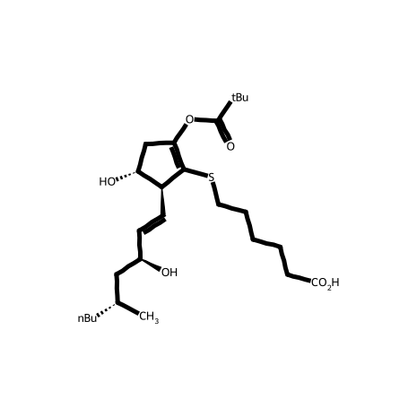 CCCC[C@@H](C)C[C@H](O)/C=C/[C@@H]1C(SCCCCCC(=O)O)=C(OC(=O)C(C)(C)C)C[C@H]1O